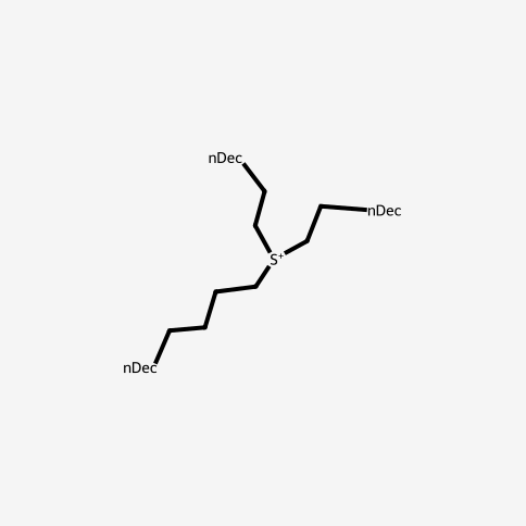 CCCCCCCCCCCCCC[S+](CCCCCCCCCCCC)CCCCCCCCCCCC